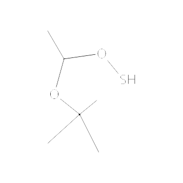 CC(OS)OC(C)(C)C